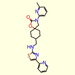 Cc1cccc(N2CC3(CCC(CNc4nc(-c5ccccn5)cs4)CC3)OC2=O)n1